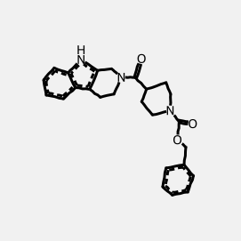 O=C(OCc1ccccc1)N1CCC(C(=O)N2CCc3c([nH]c4ccccc34)C2)CC1